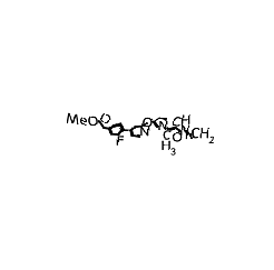 C=NNC(=O)/C(Cl)=C(\C)N1CC[C@@H](Oc2cc(-c3ccc(CC(=O)OC)cc3F)ccn2)C1